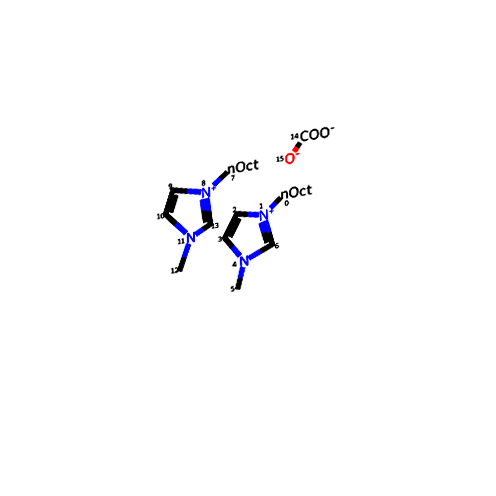 CCCCCCCC[n+]1ccn(C)c1.CCCCCCCC[n+]1ccn(C)c1.O=C([O-])[O-]